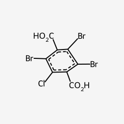 O=C(O)c1c(Cl)c(Br)c(C(=O)O)c(Br)c1Br